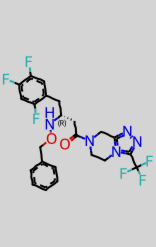 O=C(C[C@@H](Cc1cc(F)c(F)cc1F)NOCc1ccccc1)N1CCn2c(nnc2C(F)(F)F)C1